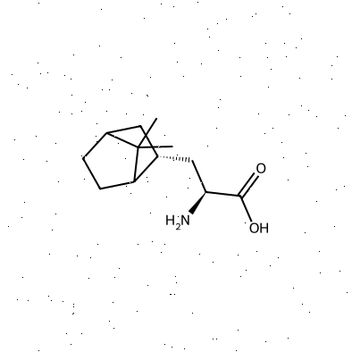 CC1(C)C2CCC1[C@@H](C[C@H](N)C(=O)O)C2